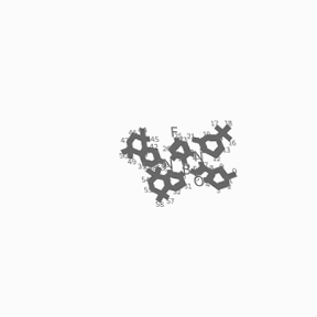 Cc1ccc2oc3c(c2c1)N(c1ccc(C(C)(C)C)cc1C)c1cc(F)cc2c1B3c1ccc3c(c1N2c1ccc2c(c1)C(C)(C)CCC2(C)C)C(C)(C)CCC3(C)C